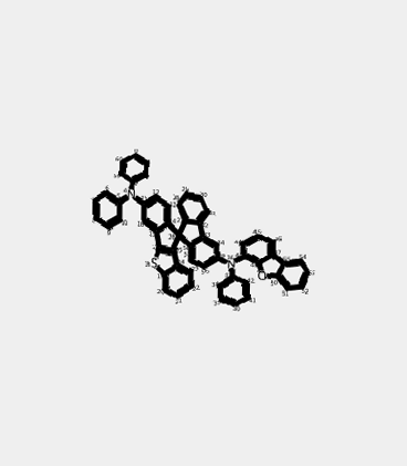 c1ccc(N(c2ccccc2)c2ccc3c(c2)-c2sc4ccccc4c2C32c3ccccc3-c3cc(N(c4ccccc4)c4cccc5c4oc4ccccc45)ccc32)cc1